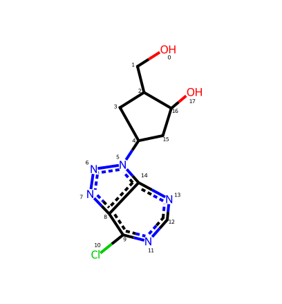 OCC1CC(n2nnc3c(Cl)ncnc32)CC1O